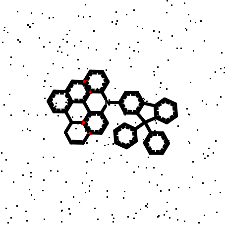 C1=CCC(c2cccc3cccc(-c4ccccc4N(c4ccccc4)c4ccc5c(c4)C(c4ccccc4)(c4ccccc4)c4ccccc4-5)c23)CC1